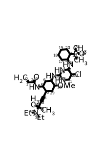 C=CC(=O)NC1CC(NC2NCC(Cl)C(NC3CCCCC3P(C)(C)=O)N2)C(OC)CC1C#CC(C)(C)N(CC)CC